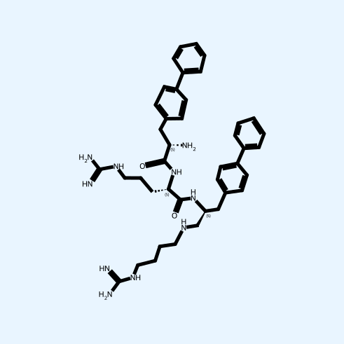 N=C(N)NCCCCNC[C@H](Cc1ccc(-c2ccccc2)cc1)NC(=O)[C@H](CCCNC(=N)N)NC(=O)[C@@H](N)Cc1ccc(-c2ccccc2)cc1